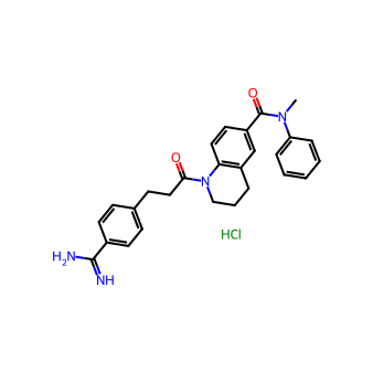 CN(C(=O)c1ccc2c(c1)CCCN2C(=O)CCc1ccc(C(=N)N)cc1)c1ccccc1.Cl